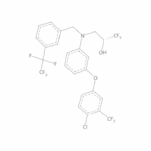 O[C@H](CN(Cc1cccc(C(F)(F)C(F)(F)F)c1)c1cccc(Oc2ccc(Cl)c(C(F)(F)F)c2)c1)C(F)(F)F